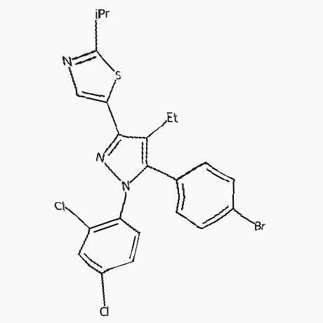 CCc1c(-c2cnc(C(C)C)s2)nn(-c2ccc(Cl)cc2Cl)c1-c1ccc(Br)cc1